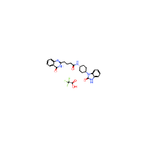 O=C(CCCc1nc2ccccc2c(=O)[nH]1)N[C@H]1CC[C@H](n2c(=O)[nH]c3ccccc32)CC1.O=C(O)C(F)(F)F